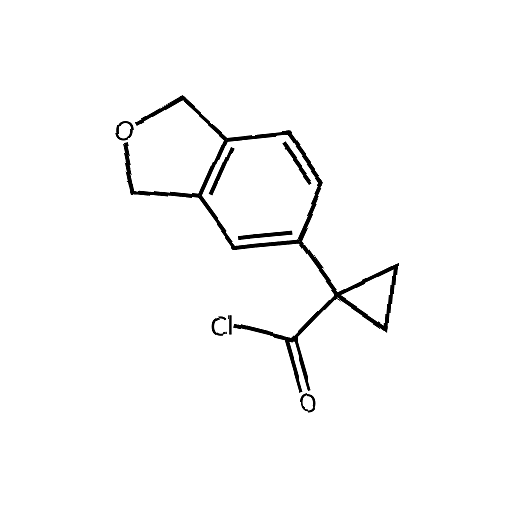 O=C(Cl)C1(c2ccc3c(c2)COC3)CC1